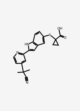 CC(C)(C#N)c1ccnc(-c2cc3cc(SC4(C(=O)O)CC4)ccc3[nH]2)c1